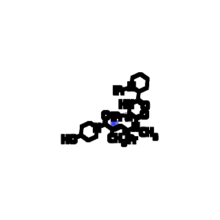 C/C(=C\[C@H](C(C)C)N(C)C(=O)[C@@H](NC(=O)C1CCCCN1C(C)C)C(C)C)C(=O)N1CCC(O)CC1